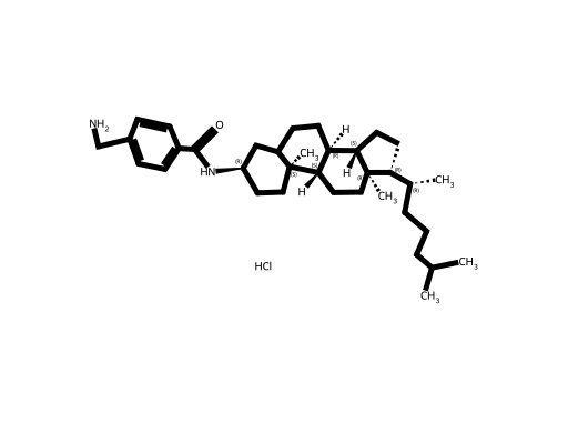 CC(C)CCC[C@@H](C)[C@H]1CC[C@H]2[C@@H]3CCC4C[C@H](NC(=O)c5ccc(CN)cc5)CC[C@]4(C)[C@H]3CC[C@]12C.Cl